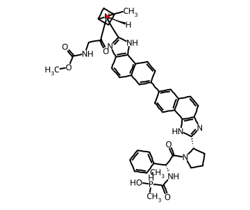 COC(=O)NCC(=O)N1C2CC(C)(C2)[C@H]1c1nc2ccc3cc(-c4ccc5c(ccc6nc([C@@H]7CCCN7C(=O)[C@H](NC(=O)[PH](C)(C)O)c7ccccc7)[nH]c65)c4)ccc3c2[nH]1